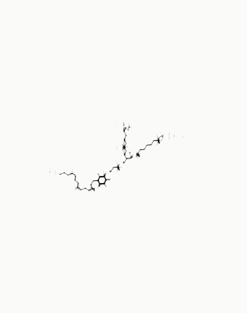 CCCCCCCCCCOC(=O)CCCCCC(=O)OCC(COC(=O)CCOc1c(C)c(C)c2c(c1C)CC[C@@](C)(CCC[C@H](C)CCC[C@H](C)CCCC(C)C)O2)COC(=O)OCCCN(CC)CC